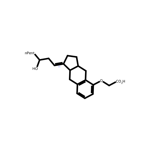 CCCCCC(O)C/C=C1\CCC2Cc3c(cccc3OCC(=O)O)CC12